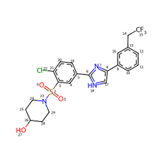 O=S(=O)(c1cc(-c2nc(-c3cccc(CC(F)(F)F)c3)c[nH]2)ccc1Cl)N1CCC(O)CC1